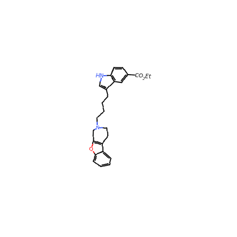 CCOC(=O)c1ccc2[nH]cc(CCCCN3CCc4c(oc5ccccc45)C3)c2c1